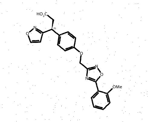 COc1ccccc1-c1nc(COc2ccc([C@H](CC(=O)O)c3ccon3)cc2)no1